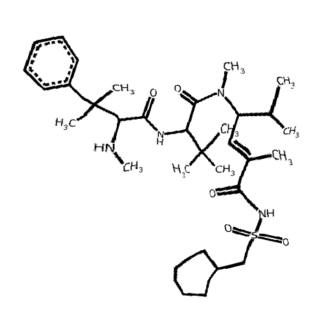 CNC(C(=O)NC(C(=O)N(C)C(C=C(C)C(=O)NS(=O)(=O)CC1CCCC1)C(C)C)C(C)(C)C)C(C)(C)c1ccccc1